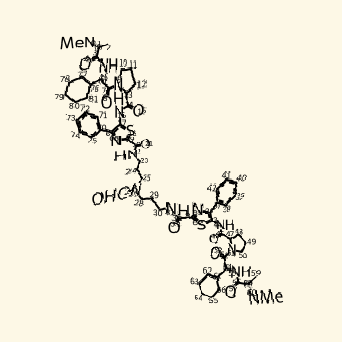 CN[C@@H](C)C(=O)N[C@H](C(=O)N1CCCC1C(=O)Nc1sc(C(=O)NCCCN(C=O)CCCNC(=O)c2nc(-c3ccccc3)c(NC(=O)C3CCCN3C(=O)[C@@H](NC(=O)[C@H](C)NC)C3CCCCC3)s2)nc1-c1ccccc1)C1CCCCC1